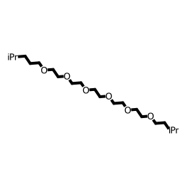 CC(C)CCCOCCOCCOCCOCCOCCOCCC(C)C